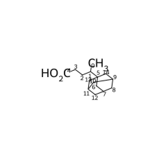 CC(CCC(=O)O)C12CC3CC(CC(C3)C1)C2